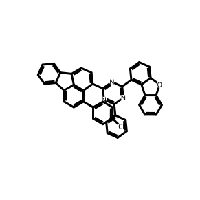 N#Cc1ccc(-c2ccc3c4c(ccc(-c5nc(-c6ccccc6)nc(-c6cccc7oc8ccccc8c67)n5)c24)-c2ccccc2-3)cc1